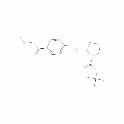 CCOC(=O)c1ccc(OC[C@@H]2CCCN2C(=O)OC(C)(C)C)cc1